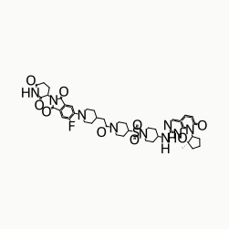 C[C@@]1(O)CCCC1n1c(=O)ccc2cnc(NC3CCN(S(=O)(=O)C4CCN(C(=O)CC5CCN(c6cc7c(cc6F)C(=O)N(C6CCC(=O)NC6=O)C7=O)CC5)CC4)CC3)nc21